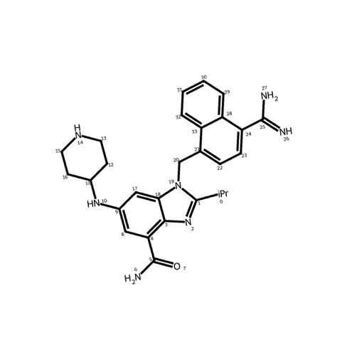 CC(C)c1nc2c(C(N)=O)cc(NC3CCNCC3)cc2n1Cc1ccc(C(=N)N)c2ccccc12